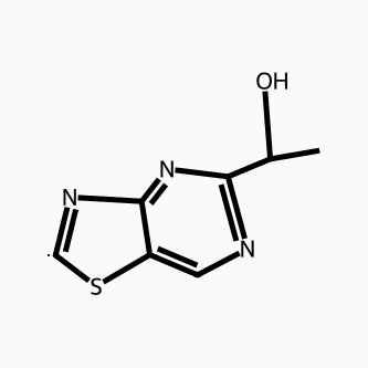 CC(O)c1ncc2s[c]nc2n1